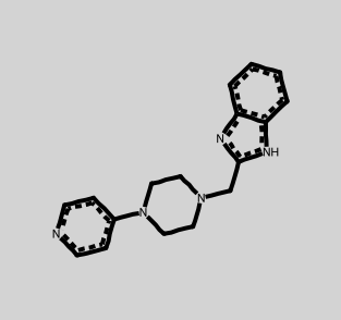 c1ccc2[nH]c(CN3CCN(c4ccncc4)CC3)nc2c1